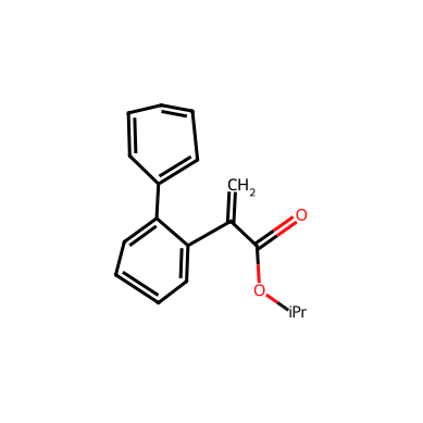 C=C(C(=O)OC(C)C)c1ccccc1-c1ccccc1